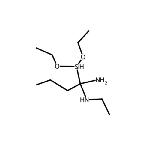 CCCC(N)(NCC)[SiH](OCC)OCC